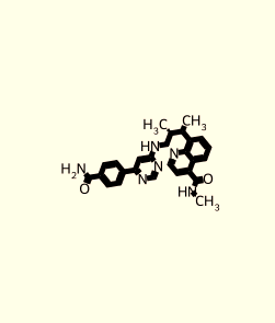 CNC(=O)c1ccnc2c(C(C)[C@H](C)CNc3cc(-c4ccc(C(N)=O)cc4)ncn3)cccc12